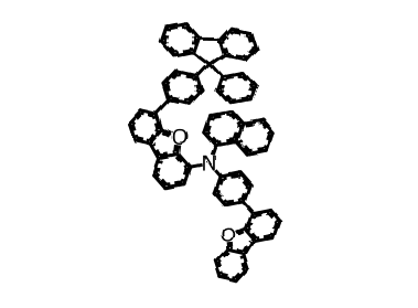 c1ccc(C2(c3ccc(-c4cccc5c4oc4c(N(c6ccc(-c7cccc8c7oc7ccccc78)cc6)c6cccc7ccccc67)cccc45)cc3)c3ccccc3-c3ccccc32)cc1